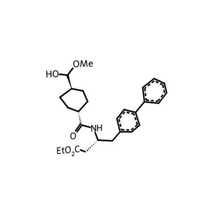 CCOC(=O)C[C@@H](Cc1ccc(-c2ccccc2)cc1)NC(=O)[C@H]1CC[C@H](C(O)OC)CC1